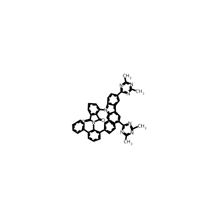 Cc1nc(C)nc(-c2ccc3c(c2)c2cc(-c4nc(C)nc(C)n4)ccc2n3-c2cccc3c2C(=O)N(c2c(-c4ccccc4)cccc2-c2ccccc2)C3=O)n1